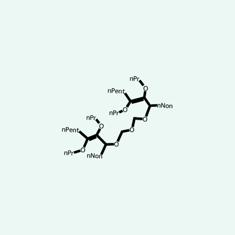 CCCCCCCCCC(OCOCOC(CCCCCCCCC)C(OCCC)=C(CCCCC)OCCC)C(OCCC)=C(CCCCC)OCCC